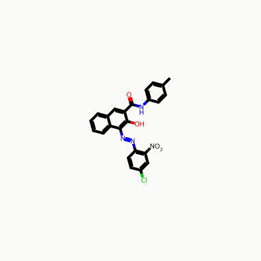 Cc1ccc(NC(=O)c2cc3ccccc3c(/N=N/c3ccc(Cl)cc3[N+](=O)[O-])c2O)cc1